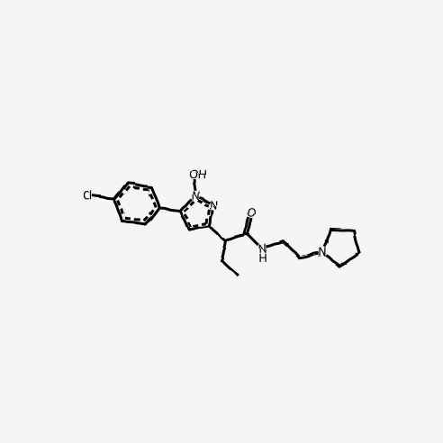 CCC(C(=O)NCCN1CCCC1)c1cc(-c2ccc(Cl)cc2)n(O)n1